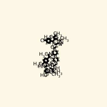 Cc1ncsc1-c1ccc(C(C)NC(=O)[C@@H]2C[C@@H](O)CN2C(=O)[C@@H](NC(=O)CN2CCN(C3CCN(C(=O)C[C@@H]4N=C(c5ccc(Cl)cc5)c5c(sc(C)c5C)-n5c(C)nnc54)CC3)C[C@@H]2C)C(C)(C)C)cc1